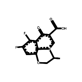 CC1COc2cc(F)c(F)c3c(=O)c(C(=O)O)cn1c23